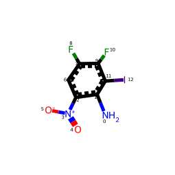 Nc1c([N+](=O)[O-])cc(F)c(F)c1I